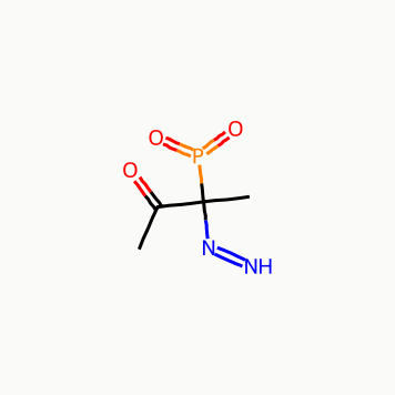 CC(=O)C(C)(N=N)P(=O)=O